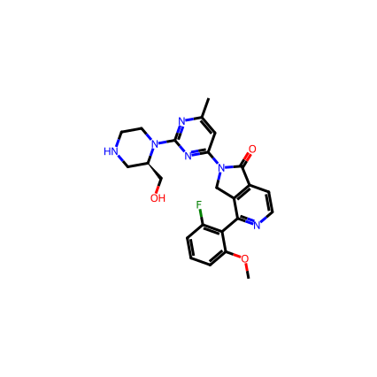 COc1cccc(F)c1-c1nccc2c1CN(c1cc(C)nc(N3CCNC[C@@H]3CO)n1)C2=O